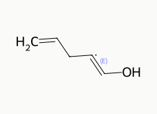 C=CC/[C]=C/O